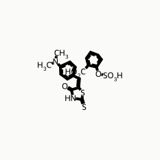 CN(C)c1ccc(C=C2SC(=S)NC2=O)cc1.O=C(O)c1ccccc1OS(=O)(=O)O